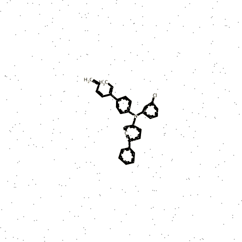 C=C/C=C\C(=C/C)c1ccc(N(c2ccc(-c3ccccc3)cc2)c2cccc(Cl)c2)cc1